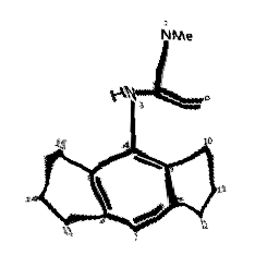 C=C(NC)Nc1c2c(cc3c1CCC3)CCC2